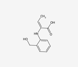 CC=C(Nc1ccccc1CO)C(=O)O